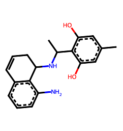 Cc1cc(O)c(C(C)NC2CC=Cc3cccc(N)c32)c(O)c1